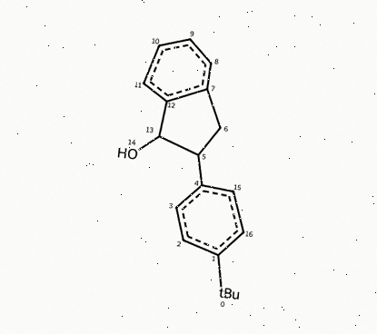 CC(C)(C)c1ccc(C2Cc3ccccc3C2O)cc1